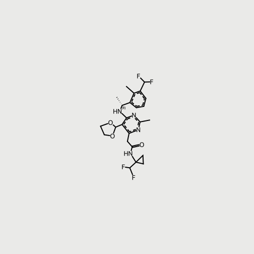 Cc1nc(CC(=O)NC2(C(F)F)CC2)c(C2OCCO2)c(N[C@H](C)c2cccc(C(F)F)c2C)n1